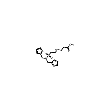 COC(=O)CCNCCS(=O)(=O)N(Cc1cccs1)Cc1cccs1